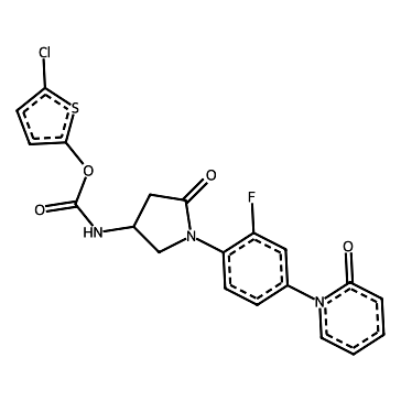 O=C(NC1CC(=O)N(c2ccc(-n3ccccc3=O)cc2F)C1)Oc1ccc(Cl)s1